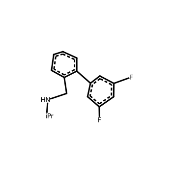 CC(C)NCc1ccccc1-c1cc(F)cc(F)c1